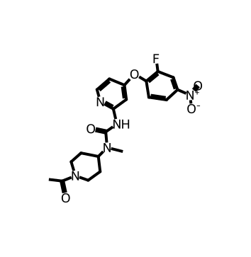 CC(=O)N1CCC(N(C)C(=O)Nc2cc(Oc3ccc([N+](=O)[O-])cc3F)ccn2)CC1